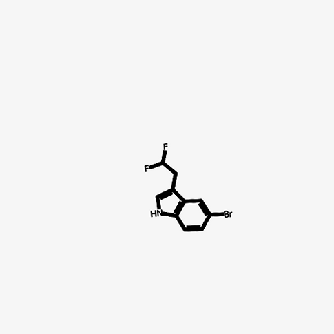 FC(F)Cc1c[nH]c2ccc(Br)cc12